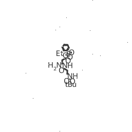 CCc1ccccc1S(=O)(=O)OC(=O)CC(N)NC(=O)CCNC(=O)OC(C)(C)C